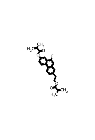 C=C(C)C(=O)OCCc1ccc2c(c1)cc(F)c1cc(OC(=O)C(=C)C)ccc12